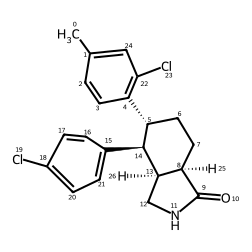 Cc1ccc([C@@H]2CC[C@H]3C(=O)NC[C@H]3[C@H]2c2ccc(Cl)cc2)c(Cl)c1